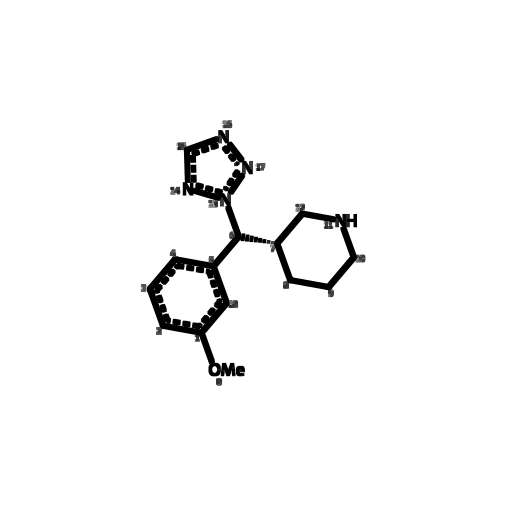 COc1cccc(C([C@H]2CCCNC2)n2ncnn2)c1